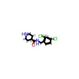 O=C(NCc1ccc(Cl)cc1Cl)C1CCNCC1